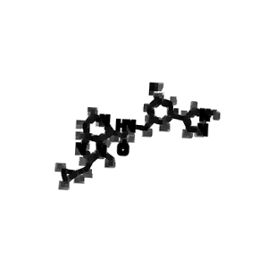 Cn1cc(-c2cc(F)cc(CNC(=O)c3nccc4nc(CC5CC5)n(C)c34)c2)cn1